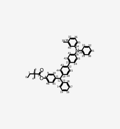 CCC(C)(C)C(=O)Oc1ccc(C(c2ccccc2)c2ccc(-c3ccc(N(c4ccccc4)c4cccc(C)c4)cc3)cc2)cc1